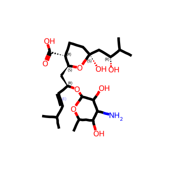 CC(C)/C=C/[C@@H](C[C@@H]1O[C@](O)(C[C@@H](O)C(C)C)CC[C@H]1C(=O)O)OC1OC(C)C(O)C(N)C1O